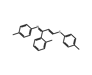 Cc1ccc(N=C(C=CSc2ccc(C)cc2)c2ccccc2C)cc1